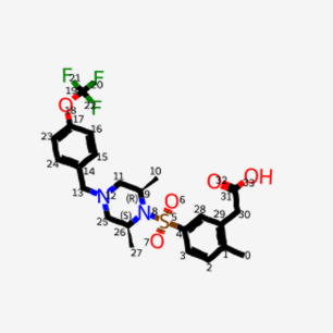 Cc1ccc(S(=O)(=O)N2[C@H](C)CN(Cc3ccc(OC(F)(F)F)cc3)C[C@@H]2C)cc1CC(=O)O